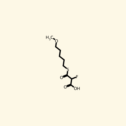 COCCCCCSC(=O)C(F)C(=O)O